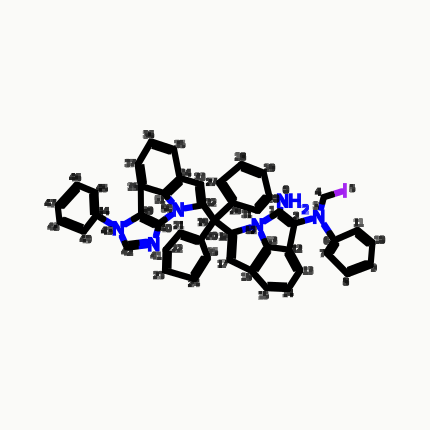 Nc1c(N(CI)c2ccccc2)c2cccc3cc(C(c4ccccc4)(c4ccccc4)c4cc5cccc6c7c(ncn7-c7ccccc7)n4c56)n1c32